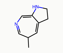 CC1C=NC=C2NCCC2=C1